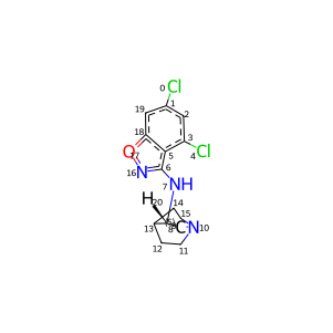 Clc1cc(Cl)c2c(N[C@@H]3CN4CCC3CC4)noc2c1